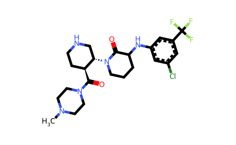 CN1CCN(C(=O)[C@H]2CCNC[C@@H]2N2CCCC(Nc3cc(Cl)cc(C(F)(F)F)c3)C2=O)CC1